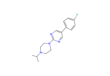 CC(C)N1CCN(c2ncc(-c3ccc(F)cc3)cn2)CC1